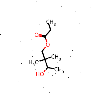 CCC(=O)OCC(C)(C)C(C)O